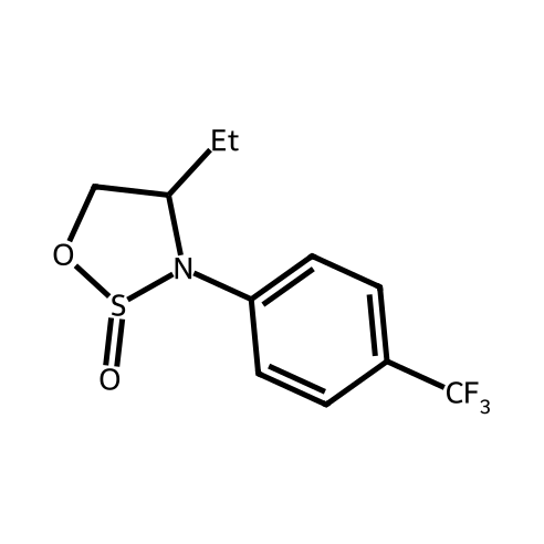 CCC1COS(=O)N1c1ccc(C(F)(F)F)cc1